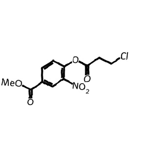 COC(=O)c1ccc(OC(=O)CCCl)c([N+](=O)[O-])c1